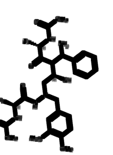 COC(=O)N[C@H](C(=O)NN(Cc1ccc(OC)c(OC)c1)C[C@H](O)C(C(=O)[C@@H](NC(=O)OC)C(C)C)C(N)c1ccccc1)C(C)C